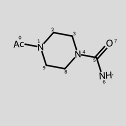 CC(=O)N1CCN(C([NH])=O)CC1